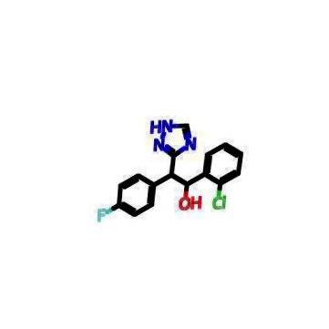 OC(c1ccccc1Cl)C(c1ccc(F)cc1)c1nc[nH]n1